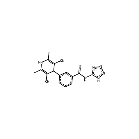 CC1=C(C#N)C(c2cccc(C(=O)Nc3nnn[nH]3)c2)C(C#N)=C(C)N1